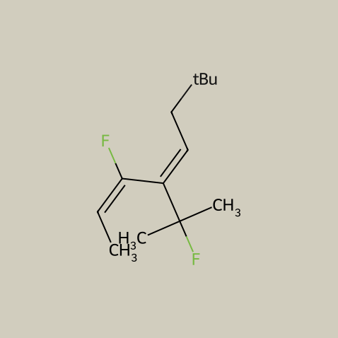 C/C=C(F)\C(=C/CC(C)(C)C)C(C)(C)F